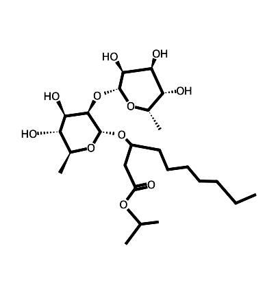 CCCCCCCC(CC(=O)OC(C)C)O[C@@H]1O[C@@H](C)[C@H](O)[C@@H](O)[C@H]1O[C@H]1O[C@@H](C)[C@@H](O)[C@H](O)[C@@H]1O